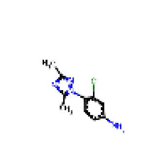 Cc1nc(C)n(-c2ccc(N)cc2Cl)n1